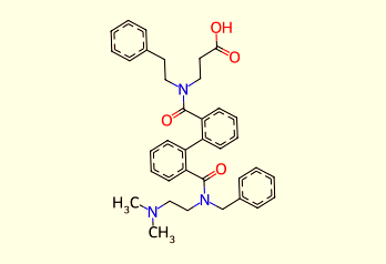 CN(C)CCN(Cc1ccccc1)C(=O)c1ccccc1-c1ccccc1C(=O)N(CCC(=O)O)CCc1ccccc1